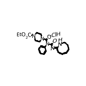 CCOC(=O)N1CCN(C(=O)N(C(=O)N=C2CCCCCCN2)c2ccccc2)CC1.Cl